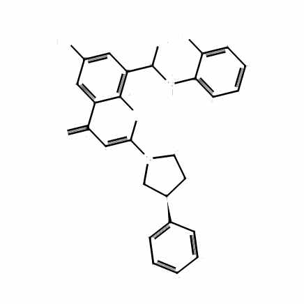 Cc1cc(C(C)Nc2ccccc2C(=O)O)c2oc(N3CC[C@@H](c4ccccc4)C3)cc(=O)c2c1